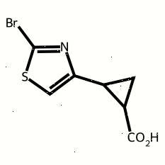 O=C(O)C1CC1c1csc(Br)n1